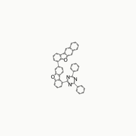 c1ccc(-c2nc(-c3ccccc3)nc(-c3cccc4oc5cc(-c6cccc7c6oc6cc8ccccc8cc67)ccc5c34)n2)cc1